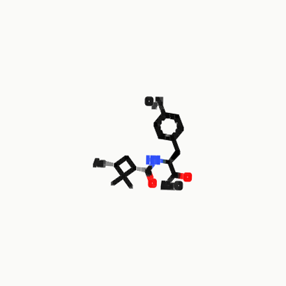 COC(=O)[C@H](Cc1ccc([N+](=O)[O-])cc1)NC(=O)[C@H]1C[C@@H](C(C)=O)C1(C)C